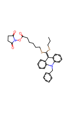 CCCSC(SCCCCCC(=O)ON1C(=O)CCC1=O)=C1c2ccccc2N(Cc2ccccc2)c2ccccc21